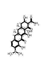 CN(C)c1ccc2c(c1O)C(=O)C1=C(O)[C@]3(O)C(=O)C(C(N)=O)C(O)C[C@@H]3C[C@@H]1C2